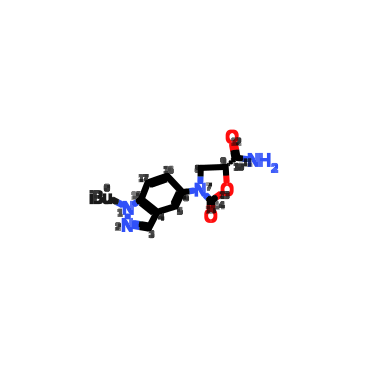 CCC(C)n1ncc2cc(N3C[C@H](C(N)=O)OC3=O)ccc21